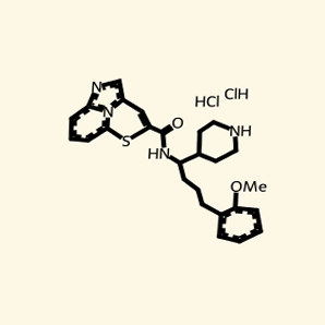 COc1ccccc1CCCC(NC(=O)C1=Cc2cnc3cccc(n23)S1)C1CCNCC1.Cl.Cl